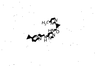 Cc1ccnc([C@H]2C[C@@H]2C(=O)Nc2cc(NCc3cn4cc(C5CC5)ccc4n3)ncn2)n1